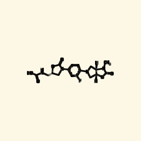 CN1C(=O)O[C@@H]2CN(c3ccc(N4C[C@H](CNC(=O)O)OC4=O)cc3F)C[C@@H]21